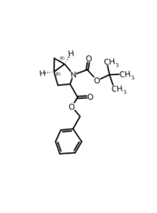 CC(C)(C)OC(=O)N1C(C(=O)OCc2ccccc2)C[C@H]2C[C@H]21